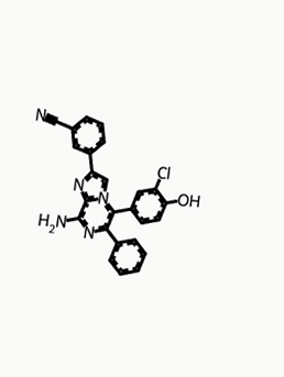 N#Cc1cccc(-c2cn3c(-c4ccc(O)c(Cl)c4)c(-c4ccccc4)nc(N)c3n2)c1